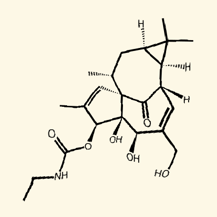 CCNC(=O)O[C@H]1C(C)=C[C@]23C(=O)[C@@H](C=C(CO)[C@@H](O)[C@]12O)[C@H]1[C@@H](C[C@H]3C)C1(C)C